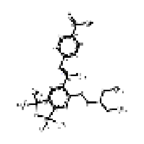 CCC(CC)CCc1cc2c(cc1/C(C)=C/c1ccc(C(=O)O)cc1)C(C)(C)CC2(C)C